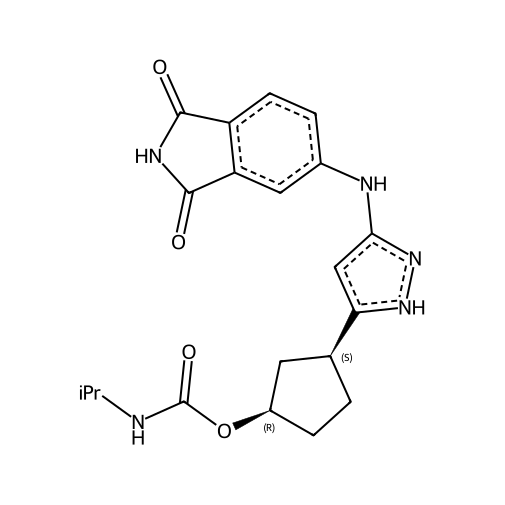 CC(C)NC(=O)O[C@@H]1CC[C@H](c2cc(Nc3ccc4c(c3)C(=O)NC4=O)n[nH]2)C1